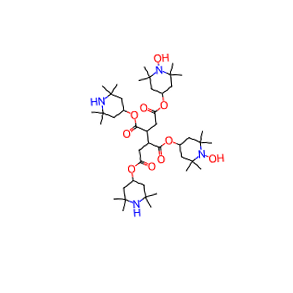 CC1(C)CC(OC(=O)CC(C(=O)OC2CC(C)(C)N(O)C(C)(C)C2)C(CC(=O)OC2CC(C)(C)N(O)C(C)(C)C2)C(=O)OC2CC(C)(C)NC(C)(C)C2)CC(C)(C)N1